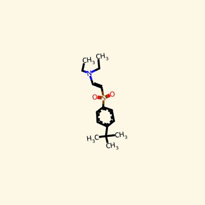 CCN(/C=C/S(=O)(=O)c1ccc(C(C)(C)C)cc1)CC